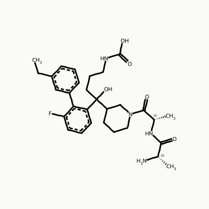 CCc1cccc(-c2c(F)cccc2C(O)(CCCNC(=O)O)C2CCCN(C(=O)[C@H](C)NC(=O)[C@H](C)N)C2)c1